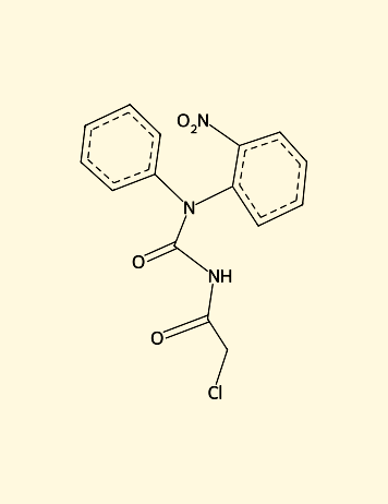 O=C(CCl)NC(=O)N(c1ccccc1)c1ccccc1[N+](=O)[O-]